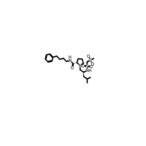 CC(C)C[C@@H](CN1CCC[C@H]1C(=O)NCCCCc1ccccc1)NS(=O)(=O)CS(C)(=O)=O